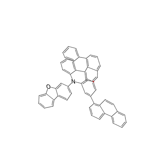 c1ccc(-c2cccc3cccc(-c4ccccc4N(c4cccc(-c5cccc6c5ccc5ccccc56)c4)c4ccc5c(c4)oc4ccccc45)c23)cc1